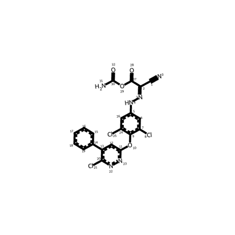 N#CC(=NNc1cc(Cl)c(Oc2cc(-c3ccccc3)c(Cl)nn2)c(Cl)c1)C(=O)OC(N)=O